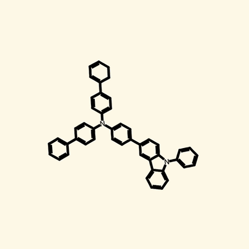 C1=CCCC(c2ccc(N(c3ccc(-c4ccccc4)cc3)c3ccc(-c4ccc5c(c4)c4ccccc4n5-c4ccccc4)cc3)cc2)=C1